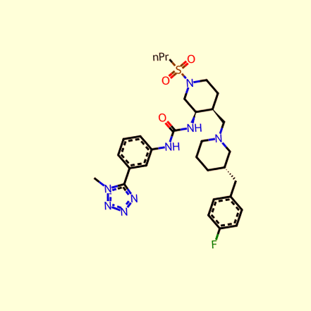 CCCS(=O)(=O)N1CC[C@@H](CN2CCC[C@@H](Cc3ccc(F)cc3)C2)[C@@H](NC(=O)Nc2cccc(-c3nnnn3C)c2)C1